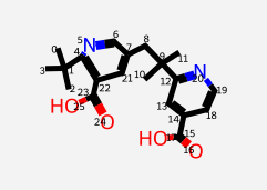 CC(C)(C)c1ncc(CC(C)(C)c2cc(C(=O)O)ccn2)cc1C(=O)O